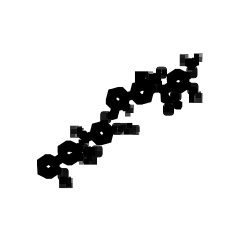 CCOc1cc(C(CS(C)(=O)=O)n2c(=O)[nH]c3cc(-c4cccc(COc5cc(C(CC)n6c(=O)[nH]c7cc(-c8ccccc8OCC)ccc76)ccc5OC)c4F)ccc32)ccc1OC(F)F